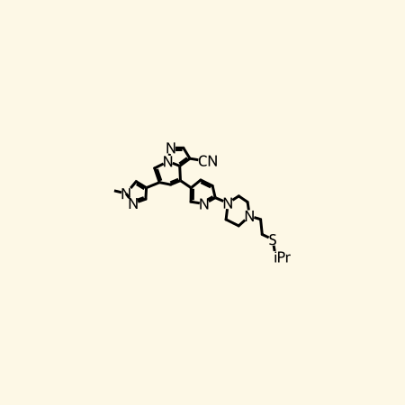 CC(C)SCCN1CCN(c2ccc(-c3cc(-c4cnn(C)c4)cn4ncc(C#N)c34)cn2)CC1